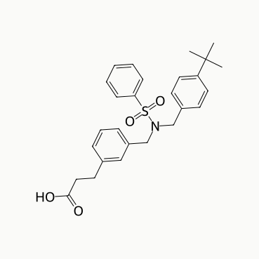 CC(C)(C)c1ccc(CN(Cc2cccc(CCC(=O)O)c2)S(=O)(=O)c2ccccc2)cc1